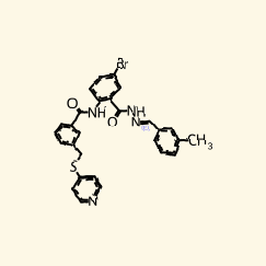 Cc1cccc(/C=N/NC(=O)c2cc(Br)ccc2NC(=O)c2cccc(CSc3ccncc3)c2)c1